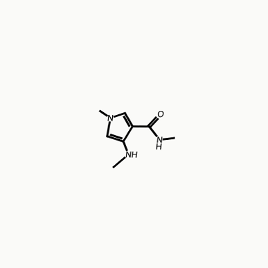 CNC(=O)c1cn(C)cc1NC